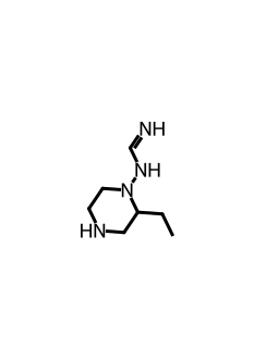 CCC1CNCCN1NC=N